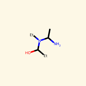 CCC(O)N(CC)C(C)N